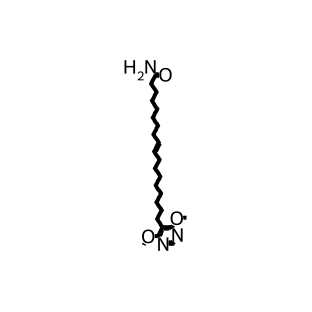 COc1ncnc(OC)c1CCCCCCCCC=CCCCCCCCC(N)=O